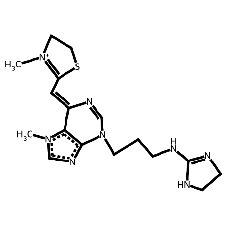 Cn1cnc2c1C(=CC1=[N+](C)CCS1)N=CN2CCCNC1=NCCN1